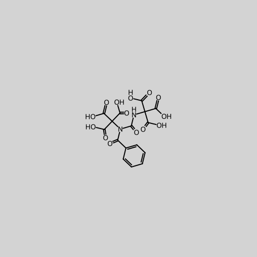 O=C(NC(C(=O)O)(C(=O)O)C(=O)O)N(C(=O)c1ccccc1)C(C(=O)O)(C(=O)O)C(=O)O